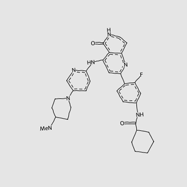 CNC1CCN(c2ccc(Nc3cc(-c4ccc(NC(=O)C5CCCCC5)cc4F)nc4cc[nH]c(=O)c34)nc2)CC1